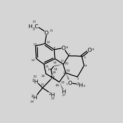 [2H]O[C@@]12CCC(=O)C3Oc4c(OC)ccc5c4[C@@]31CCN(C([2H])([2H])[2H])[C@@H]2C5